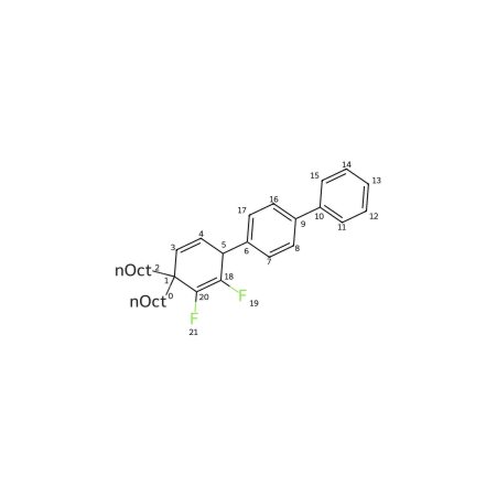 CCCCCCCCC1(CCCCCCCC)C=CC(c2ccc(-c3ccccc3)cc2)C(F)=C1F